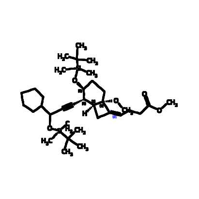 COC(=O)CC/C=C1/C[C@H]2[C@H](C#CC(O[Si](C)(C)C(C)(C)C)C3CCCCC3)[C@@H](O[Si](C)(C)C(C)(C)C)CC[C@@]12OC